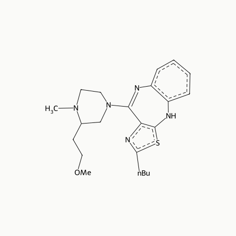 CCCCc1nc2c(s1)Nc1ccccc1N=C2N1CCN(C)C(CCOC)C1